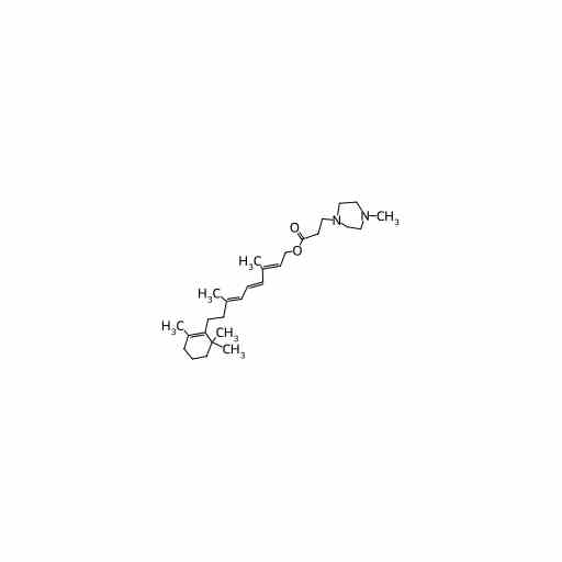 CC1=C(CC/C(C)=C/C=C/C(C)=C/COC(=O)CCN2CCN(C)CC2)C(C)(C)CCC1